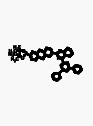 CC1(C)OB(c2ccc3cc4cc(-c5nc(-c6cc(-c7ccccc7)cc(-c7ccccc7)c6)c6ccccc6n5)ccc4cc3c2)OC1(C)C